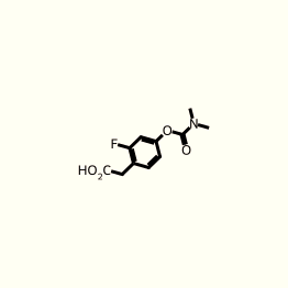 CN(C)C(=O)Oc1ccc(CC(=O)O)c(F)c1